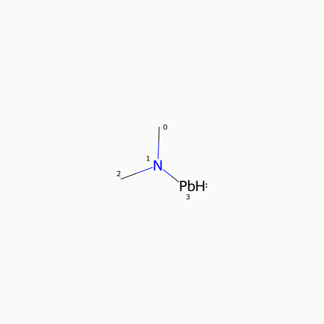 C[N](C)[PbH]